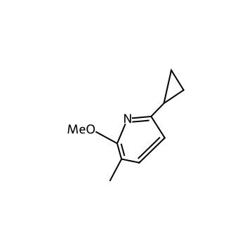 COc1nc(C2CC2)ccc1C